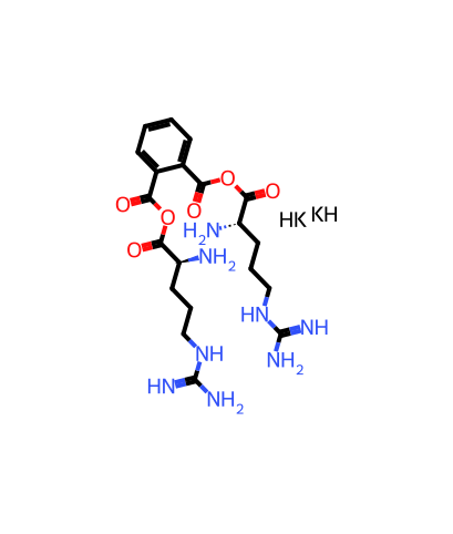 N=C(N)NCCC[C@H](N)C(=O)OC(=O)c1ccccc1C(=O)OC(=O)[C@@H](N)CCCNC(=N)N.[KH].[KH]